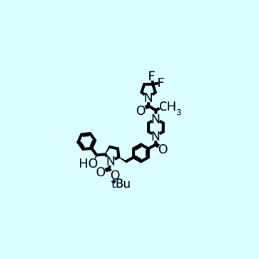 CC(C(=O)N1CCC(F)(F)C1)N1CCN(C(=O)c2ccc(C[C@@H]3CC[C@H]([C@H](O)c4ccccc4)N3C(=O)OC(C)(C)C)cc2)CC1